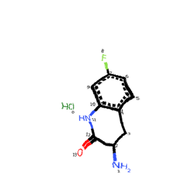 Cl.NC1Cc2ccc(F)cc2NC1=O